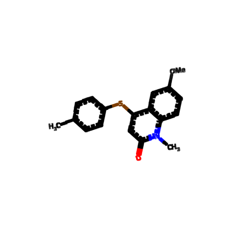 COc1ccc2c(c1)c(Sc1ccc(C)cc1)cc(=O)n2C